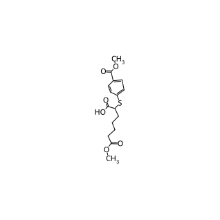 COC(=O)CCCCC(Sc1ccc(C(=O)OC)cc1)C(=O)O